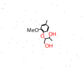 COc1cc(C)ccc1OC(CO)C(C)O